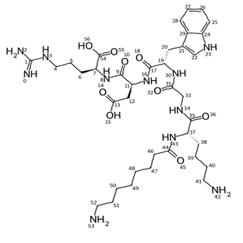 N=C(N)NCCC[C@H](NC(=O)[C@H](CC(=O)O)NC(=O)[C@H](Cc1c[nH]c2ccccc12)NC(=O)CNC(=O)[C@H](CCCCN)NC(=O)CCCCCCCN)C(=O)O